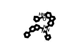 c1ccc(-c2ccc3ccc(-c4nc(-c5ccccc5)nc(-c5ccc6ccc7ccc8c(c7c6c5)OC(c5ccccc5)N8)n4)cc3c2)cc1